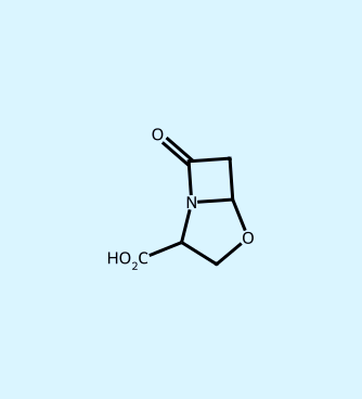 O=C(O)C1COC2CC(=O)N21